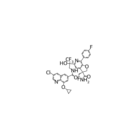 NC(=O)[C@@]1(CF)COc2c1cc(C(O)(CNC(=O)c1cc(OC3CC3)c3ncc(Cl)cc3c1)C(F)(F)F)nc2-c1ccc(F)cc1